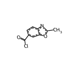 Cc1nc2ccc(C(=O)Cl)cc2o1